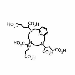 O=C(O)CCC(C(=O)O)N1CCN([C@@H](CCC(=O)O)C(=O)O)CCN(C(CCC(=O)O)C(=O)O)Cc2cccc(n2)C1